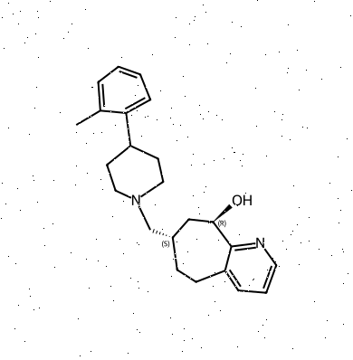 Cc1ccccc1C1CCN(C[C@H]2CCc3cccnc3[C@H](O)C2)CC1